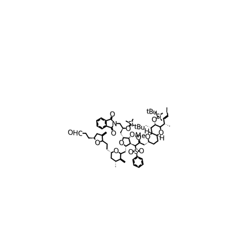 C=C1C[C@H](CCC=O)OC1CC[C@H]1C[C@@H](C)C(=C)C(C[C@@H]2O[C@H](C[C@@H](CN3C(=O)c4ccccc4C3=O)O[Si](C)(C)C(C)(C)C)[C@H](OC)[C@H]2C(C(=O)C[C@H]2CC[C@@H]3OC([C@@H](C)/C=C/I)[C@@H](O[Si](C)(C)C(C)(C)C)[C@@H](C)[C@H]3O2)S(=O)(=O)c2ccccc2)O1